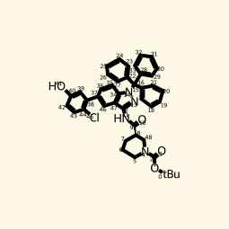 CC(C)(C)OC(=O)N1CCC[C@@H](C(=O)Nc2nn(C(c3ccccc3)(c3ccccc3)c3ccccc3)c3ccc(-c4cc(O)ccc4Cl)cc23)C1